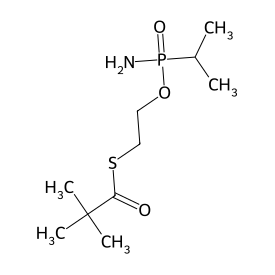 CC(C)P(N)(=O)OCCSC(=O)C(C)(C)C